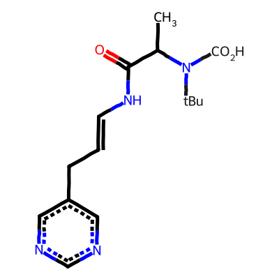 CC(C(=O)N/C=C/Cc1cncnc1)N(C(=O)O)C(C)(C)C